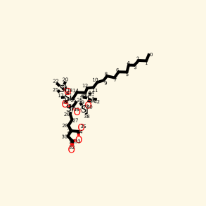 CCCCCCCCCCCCCCCC[Si](C)(O[Si](C)(C)C)O[Si](C)(CCCC1CC(=O)OC1=O)O[Si](C)(C)O[Si](C)(C)C